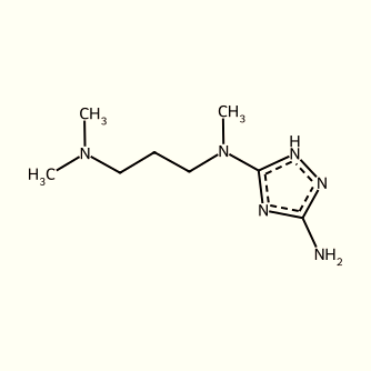 CN(C)CCCN(C)c1nc(N)n[nH]1